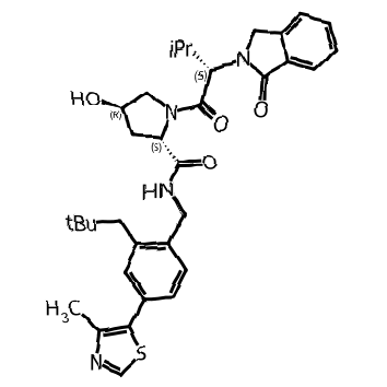 Cc1ncsc1-c1ccc(CNC(=O)[C@@H]2C[C@@H](O)CN2C(=O)[C@H](C(C)C)N2Cc3ccccc3C2=O)c(CC(C)(C)C)c1